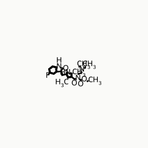 CCOC(=O)N(CCN(CC)CC)C(=O)c1c(C)[nH]c(C=C2C(=O)Nc3ccc(F)cc32)c1C